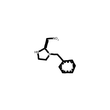 O=[N+]([O-])/C=C1/NCCN1Cc1ccccc1